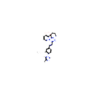 COc1cc(/C=C/c2nc3n(n2)CCC[C@@]3(O)c2ccccn2)ccc1-n1cnc(C)c1